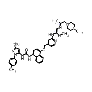 C=N/C(=C\N=C(/C)CN1CCN(C)CC1)Nc1cc(COc2ccc(NC(=O)Nc3cc(C(C)(C)C)nn3-c3ccc(C)cc3)c3ccccc23)ccn1